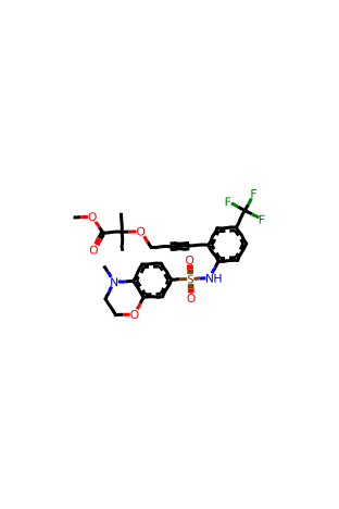 COC(=O)C(C)(C)OCC#Cc1cc(C(F)(F)F)ccc1NS(=O)(=O)c1ccc2c(c1)OCCN2C